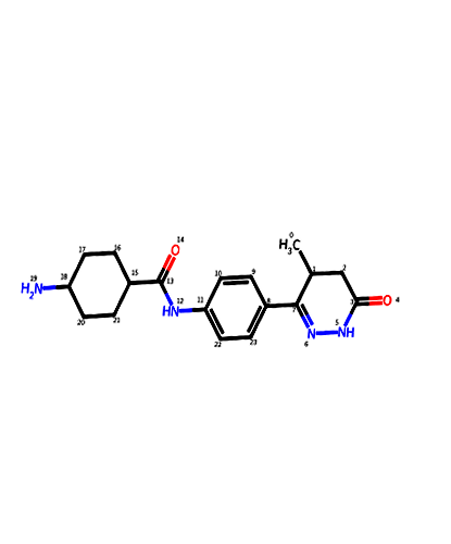 CC1CC(=O)NN=C1c1ccc(NC(=O)C2CCC(N)CC2)cc1